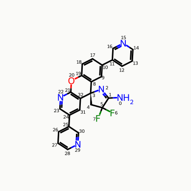 NC1=N[C@@]2(CC1(F)F)c1cc(-c3cccnc3)ccc1Oc1ncc(-c3cccnc3)cc12